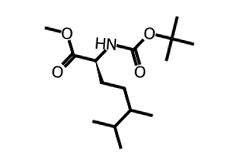 COC(=O)[C@H](CCC(C)C(C)C)NC(=O)OC(C)(C)C